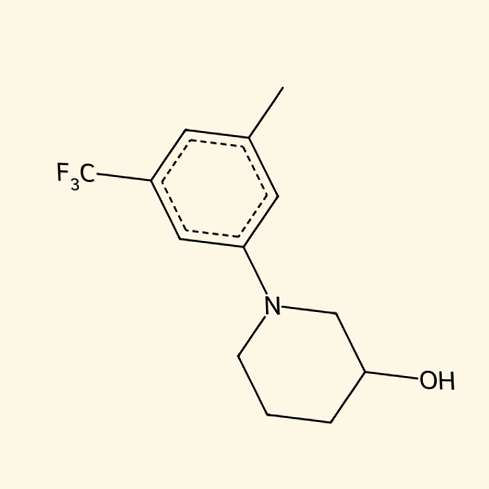 Cc1cc(N2CCCC(O)C2)cc(C(F)(F)F)c1